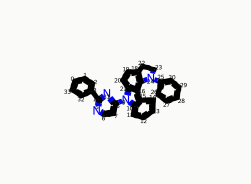 c1ccc(-c2nccc(-n3c4ccccc4c4c5c(ccc43)CCN5c3ccccc3)n2)cc1